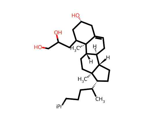 CC(C)CCCC(C)[C@H]1CC[C@H]2[C@@H]3CC=C4C[C@@H](O)CC(CC(O)CO)[C@]4(C)[C@H]3CC[C@]12C